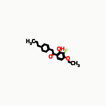 CCCC1CC=C(CC(=O)c2ccc(OCC)c(F)c2O)CC1